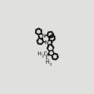 CC1(C)c2ccccc2C2C=c3c(n(-c4cccc5c6ccccc6n(-c6ccccc6)c45)c4ccccc34)=CC21